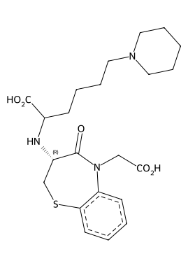 O=C(O)CN1C(=O)[C@@H](NC(CCCCN2CCCCC2)C(=O)O)CSc2ccccc21